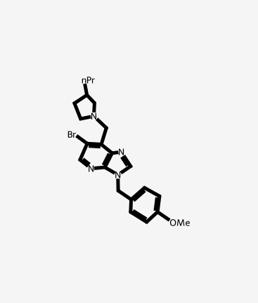 CCCC1CCN(Cc2c(Br)cnc3c2ncn3Cc2ccc(OC)cc2)C1